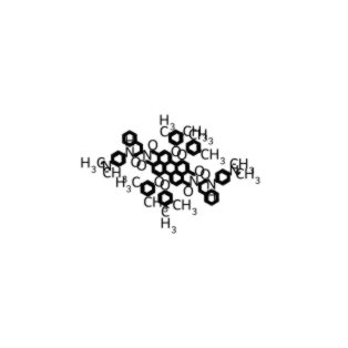 Cc1cc(C)cc(Oc2cc3c4c(cc(Oc5cc(C)cc(C)c5)c5c6c(Oc7ccc(C)c(C)c7)cc7c8c(cc(Oc9cc(C)cc(C)c9)c(c2c45)c86)C(=O)N(C(CC2CCCCC2)C(=O)Nc2ccc(N(C)C)cc2)C7=O)C(=O)N(C(CC2CCCCC2)C(=O)Nc2ccc(N(C)C)cc2)C3=O)c1